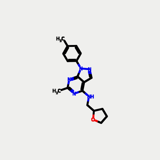 Cc1ccc(-n2ncc3c(NCC4CCCO4)nc(C)nc32)cc1